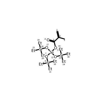 C=C(C)C(=O)O[Si](O[Si](CC)(CC)CC)(O[Si](CC)(CC)CC)O[Si](CC)(CC)CC